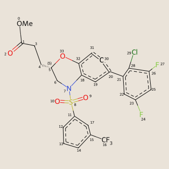 COC(=O)CC[C@H]1CN(S(=O)(=O)c2cccc(C(F)(F)F)c2)c2cc(-c3cc(F)cc(F)c3Cl)ccc2O1